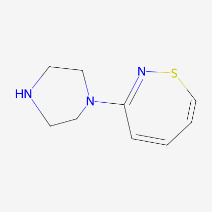 C1=CSN=C(N2CCNCC2)C=C1